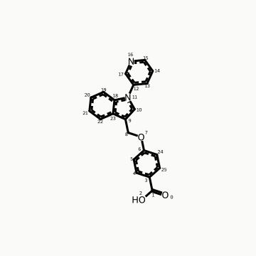 O=C(O)c1ccc(OCc2cn(-c3cccnc3)c3ccccc23)cc1